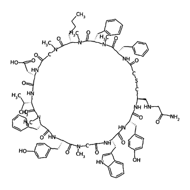 CCCC[C@H]1C(=O)N(C)CC(=O)N[C@@H](CC(=O)O)C(=O)N[C@@H](C(C)C)C(=O)N(C)[C@@H](Cc2ccccc2)C(=O)N[C@@H](Cc2ccc(O)cc2)C(=O)N(C)CC(=O)N[C@@H](Cc2c[nH]c3ccccc23)C(=O)N[C@@H](Cc2ccc(O)cc2)C(=O)N[C@H](CNCC(N)=O)CSCC(=O)N[C@@H](Cc2ccccc2)C(=O)N(C)[C@@H](Cc2ccccc2)C(=O)N1C